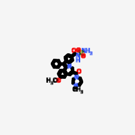 COc1ccc2c(c1)C=C(C(=O)N1CCCN(C)CC1)Cn1c-2c(C2CCCCC2)c2ccc(C(=O)NS(N)(=O)=O)cc21